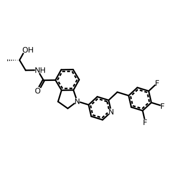 C[C@H](O)CNC(=O)c1cccc2c1CCN2c1ccnc(Cc2cc(F)c(F)c(F)c2)c1